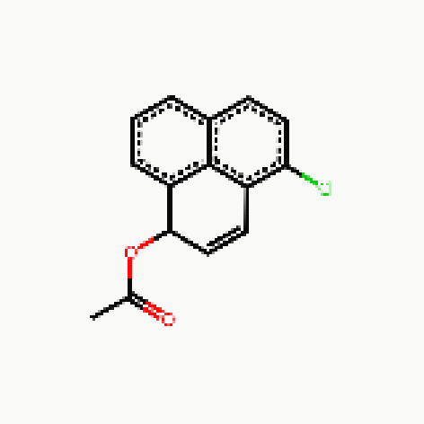 CC(=O)OC1C=Cc2c(Cl)ccc3cccc1c23